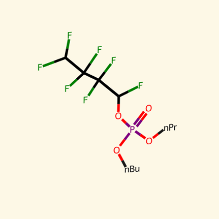 CCCCOP(=O)(OCCC)OC(F)C(F)(F)C(F)(F)C(F)F